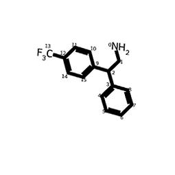 NCC(c1ccccc1)c1ccc(C(F)(F)F)cc1